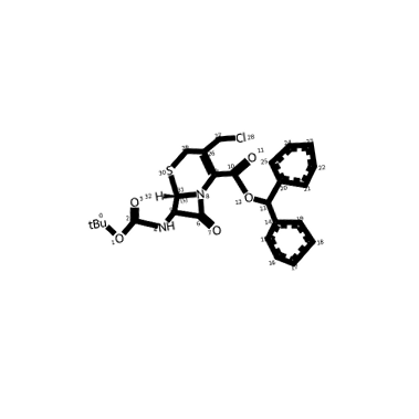 CC(C)(C)OC(=O)NC1C(=O)N2C(C(=O)OC(c3ccccc3)c3ccccc3)=C(CCl)CS[C@@H]12